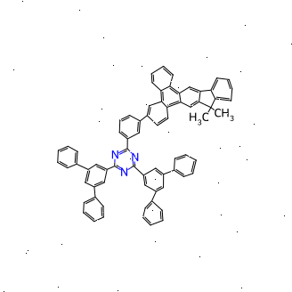 CC1(C)c2ccccc2-c2cc3c4ccccc4c4cc(-c5cccc(-c6nc(-c7cc(-c8ccccc8)cc(-c8ccccc8)c7)nc(-c7cc(-c8ccccc8)cc(-c8ccccc8)c7)n6)c5)ccc4c3cc21